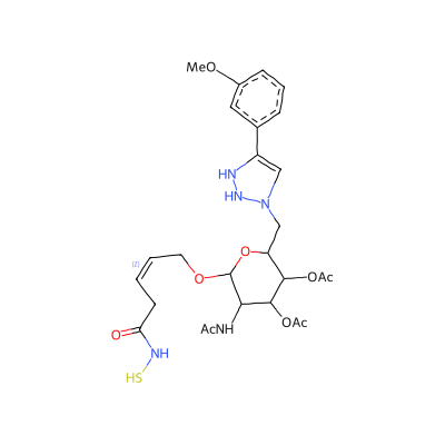 COc1cccc(C2=CN(CC3OC(OC/C=C\CC(=O)NS)C(NC(C)=O)C(OC(C)=O)C3OC(C)=O)NN2)c1